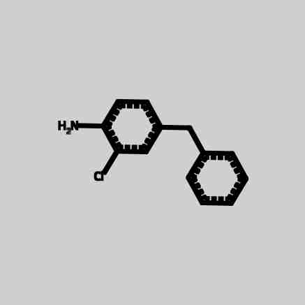 Nc1ccc(Cc2ccccc2)cc1Cl